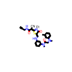 C#CCNC(=O)C(C#N)=c1sc(=CNc2cccc(N(C)C(=O)CN(C)c3cccc(C)c3)c2)c(=O)n1CC